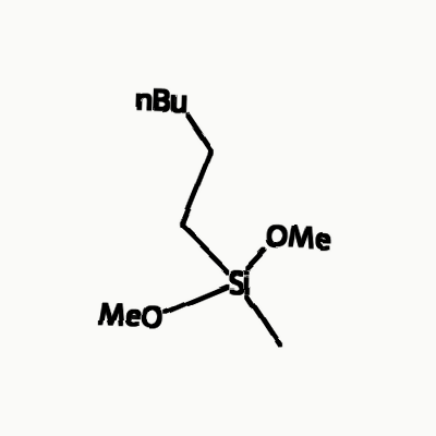 CCCCCC[Si](C)(OC)OC